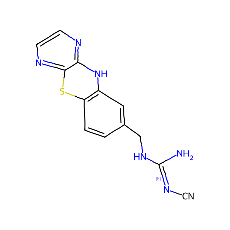 N#C/N=C(\N)NCc1ccc2c(c1)Nc1nccnc1S2